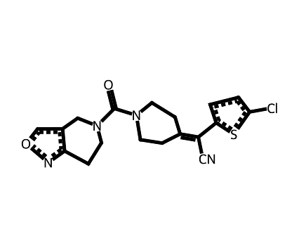 N#CC(=C1CCN(C(=O)N2CCc3nocc3C2)CC1)c1ccc(Cl)s1